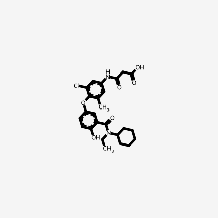 CCN(C(=O)c1cc(Oc2c(C)cc(NC(=O)CC(=O)O)cc2Cl)ccc1O)C1CCCCC1